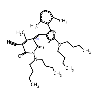 CCCCN(CCCC)c1nc(-c2c(C)cccc2C)c(/C=C2\C(=O)N(N(CCCC)CCCC)C(=O)C(C#N)=C2C)s1